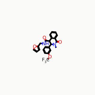 CN1C(=O)c2ccccc2C(C(=O)NCc2ccco2)C1c1cccc(OC(F)(F)F)c1